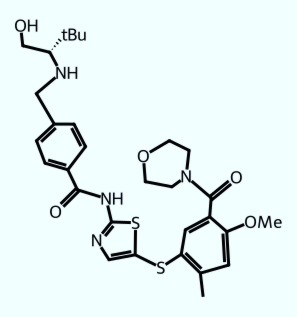 COc1cc(C)c(Sc2cnc(NC(=O)c3ccc(CN[C@H](CO)C(C)(C)C)cc3)s2)cc1C(=O)N1CCOCC1